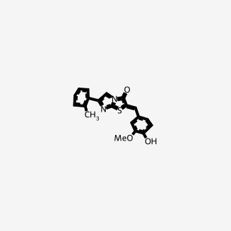 COc1cc(/C=c2\sc3nc(-c4ccccc4C)cn3c2=O)ccc1O